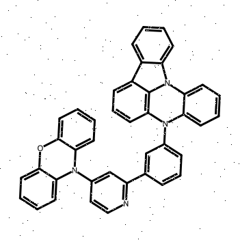 c1cc(-c2cc(N3c4ccccc4Oc4ccccc43)ccn2)cc(N2c3ccccc3-n3c4ccccc4c4cccc2c43)c1